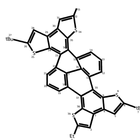 CCc1cc2c3cc(C(C)(C)C)sc3c3c4cccc5c4c4c(cccc4c4c6sc(C(C)(C)C)cc6c6cc(C)sc6c54)c3c2s1